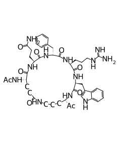 CC(=O)N[C@H]1CCC(=O)NCCC[C@@H](C(C)=O)NC(=O)[C@H](Cc2c[nH]c3ccccc23)NC(=O)[C@H](CCCNC(=N)N)NC(=O)[C@@H](Cc2ccccc2)NC(=O)[C@H](CCC(N)=O)NC1=O